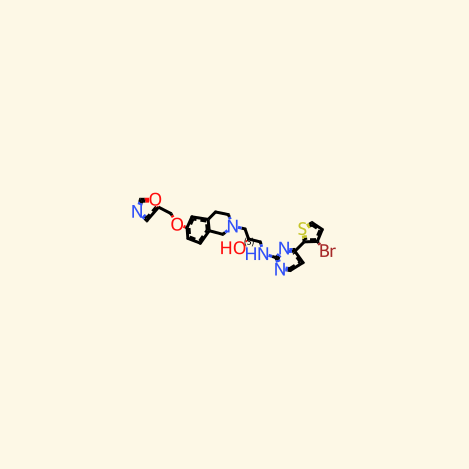 O[C@@H](CNc1nccc(-c2sccc2Br)n1)CN1CCc2cc(OCc3cnco3)ccc2C1